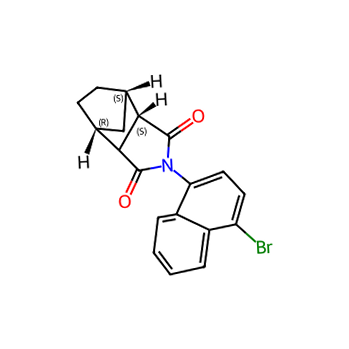 O=C1C2[C@@H]3CC[C@@H](C3)[C@@H]2C(=O)N1c1ccc(Br)c2ccccc12